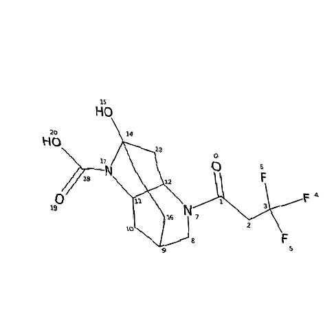 O=C(CC(F)(F)F)N1CC2CC3C1CC(O)(C2)N3C(=O)O